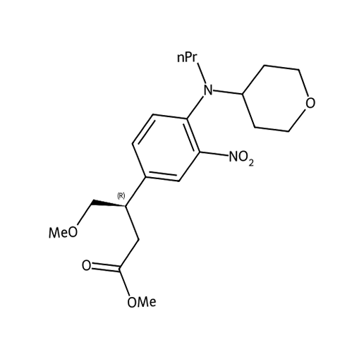 CCCN(c1ccc([C@H](COC)CC(=O)OC)cc1[N+](=O)[O-])C1CCOCC1